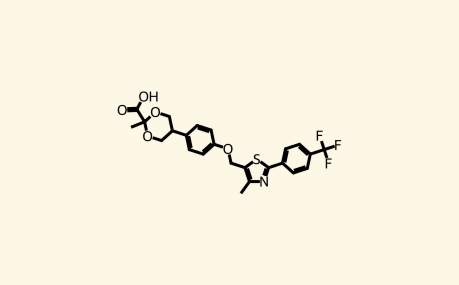 Cc1nc(-c2ccc(C(F)(F)F)cc2)sc1COc1ccc(C2COC(C)(C(=O)O)OC2)cc1